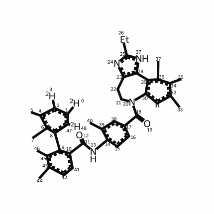 [2H]c1c([2H])c(C)c(C)c(-c2c(C(=O)Nc3ccc(C(=O)N4CCc5nc(CC)[nH]c5-c5c4cc(C)c(C)c5C)cc3C)ccc(C)c2C)c1[2H]